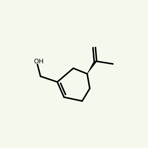 C=C(C)[C@H]1CCC=C(CO)C1